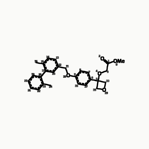 COC(=O)COC1(c2ccc(OCc3ccc(C)c(-c4ccccc4C)c3)cc2)COC1